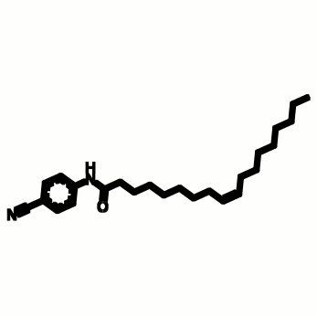 CCCCCCCC/C=C\CCCCCCCC(=O)Nc1ccc(C#N)cc1